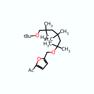 CC(=O)c1ccc(COC(C)(C)CC(C)(C)CC(C)(C)COC(C)(C)C)o1